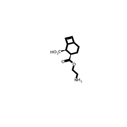 NCCOC(=O)[C@@H]1CCC2C=CC2[C@@H]1C(=O)O